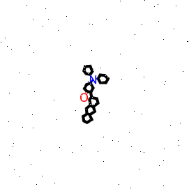 c1ccc(N(c2ccccc2)c2ccc3oc4c5cc6ccccc6cc5ccc4c3c2)cc1